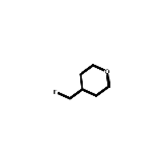 FCC1CCOCC1